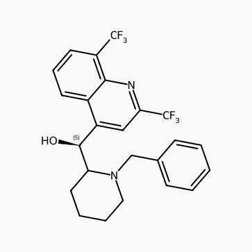 O[C@@H](c1cc(C(F)(F)F)nc2c(C(F)(F)F)cccc12)C1CCCCN1Cc1ccccc1